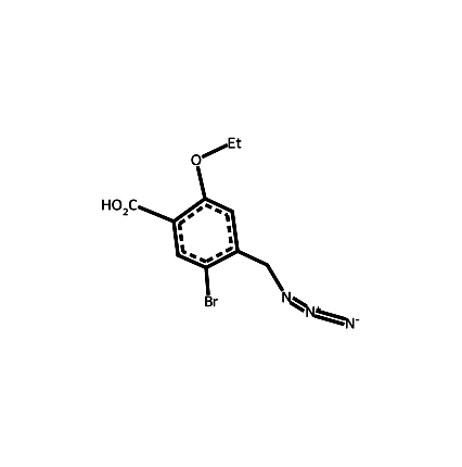 CCOc1cc(CN=[N+]=[N-])c(Br)cc1C(=O)O